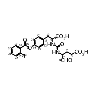 O=C[C@H](CCC(=O)O)NC(=O)N[C@@H](Cc1ccc(OC(=O)c2ccccc2F)cc1)C(=O)O